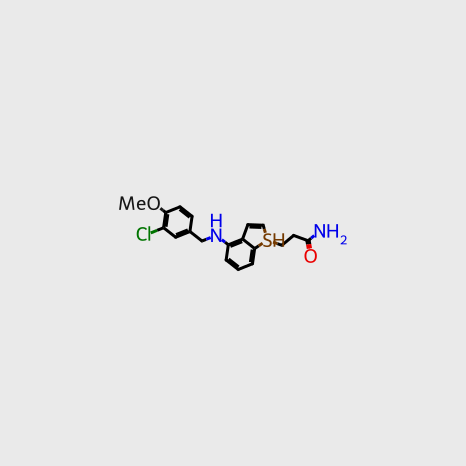 COc1ccc(CNc2cccc3c2C=C[SH]3CCC(N)=O)cc1Cl